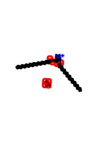 CCCCCCCCC=CCCCCCCCC(=O)OCC(OC(=O)CCCCCCCC=CCCCCCCCC)C(I)[N+](C)(C)C.COS(=O)(=O)[O-]